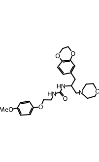 COc1ccc(OCCNC(=O)NC(Cc2ccc3c(c2)OCCO3)CN2CCOCC2)cc1